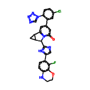 O=c1cc(-c2cc(Cl)ccc2-n2cnnn2)cc2n1C(c1ncc(-c3ccc4c(c3F)OCCN4)[nH]1)C1CC21